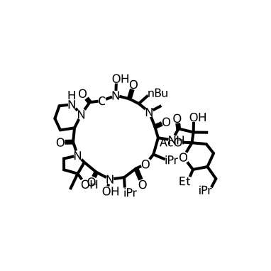 CCCCC1C(=O)N(O)CC(=O)N2NCCCC2C(=O)N2CCC(C)(O)C2C(=O)N(O)C(C(C)C)C(=O)OC(C(C)C)C(NC(=O)C(C)(O)C2(OC(C)=O)CCC(CC(C)C)C(CC)O2)C(=O)N1C